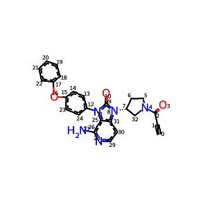 C#CC(=O)N1CC[C@@H](n2c(=O)n(-c3ccc(Oc4ccccc4)cc3)c3c(N)nccc32)C1